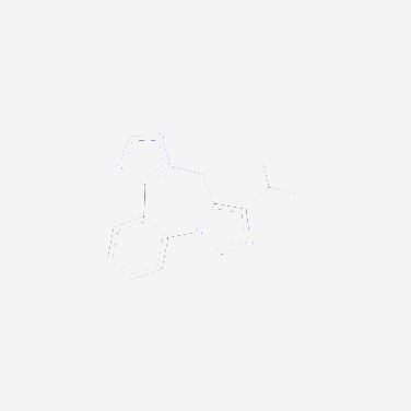 FC(F)c1ncn2c1Cn1ncnc1-c1ccccc1-2